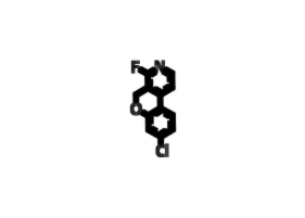 Fc1nccc2c1COc1cc(Cl)ccc1-2